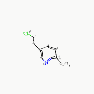 ClCCc1ccc(C(Cl)(Cl)Cl)nc1